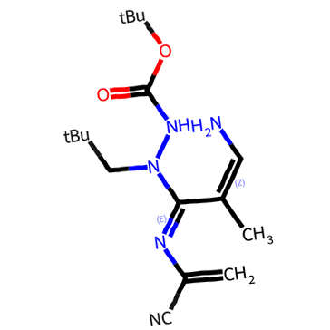 C=C(C#N)/N=C(\C(C)=C/N)N(CC(C)(C)C)NC(=O)OC(C)(C)C